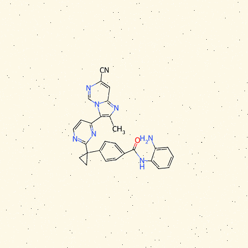 Cc1nc2cc(C#N)ncn2c1-c1ccnc(C2(c3ccc(C(=O)Nc4ccccc4N)cc3)CC2)n1